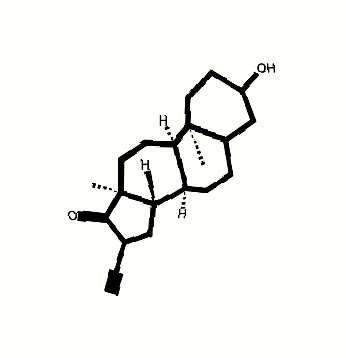 C#CC1C[C@H]2[C@@H]3CCC4CC(O)CC[C@]4(C)[C@@H]3CC[C@]2(C)C1=O